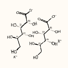 O=C([O-])[C@H](O)[C@@H](O)[C@H](O)[C@H](O)CO.O=C([O-])[C@H](O)[C@@H](O)[C@H](O)[C@H](O)CO.[K+].[K+]